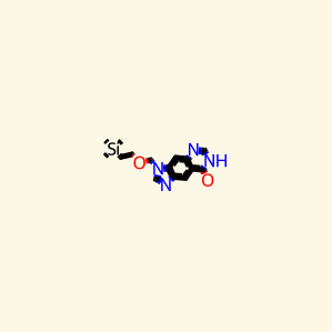 C[Si](C)(C)CCOCn1cnc2cc3c(=O)[nH]cnc3cc21